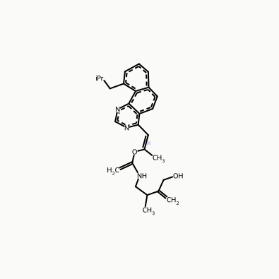 C=C(NCC(C)C(=C)CO)O/C(C)=C\c1ncnc2c1ccc1cccc(CC(C)C)c12